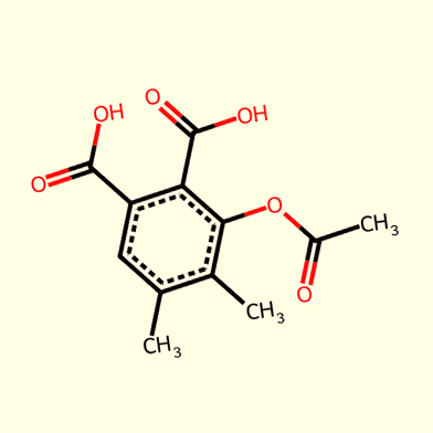 CC(=O)Oc1c(C)c(C)cc(C(=O)O)c1C(=O)O